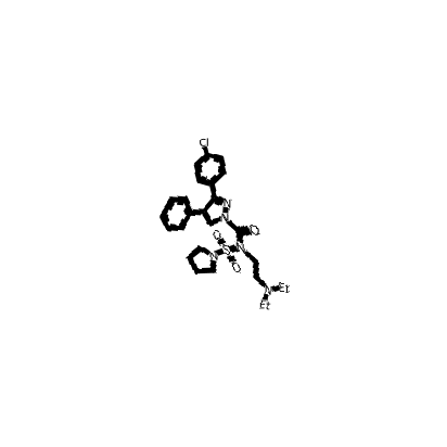 CCN(CC)CCN(C(=O)N1CC(c2ccccc2)C(c2ccc(Cl)cc2)=N1)S(=O)(=O)N1CCCC1